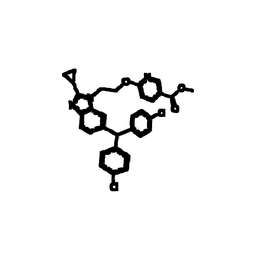 COC(=O)c1ccc(OCCn2c(C3CC3)nc3ccc(C(c4ccc(Cl)cc4)c4ccc(Cl)cc4)cc32)nc1